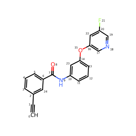 C#Cc1cccc(C(=O)Nc2cccc(Oc3cncc(F)c3)c2)c1